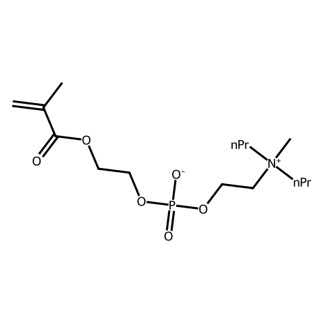 C=C(C)C(=O)OCCOP(=O)([O-])OCC[N+](C)(CCC)CCC